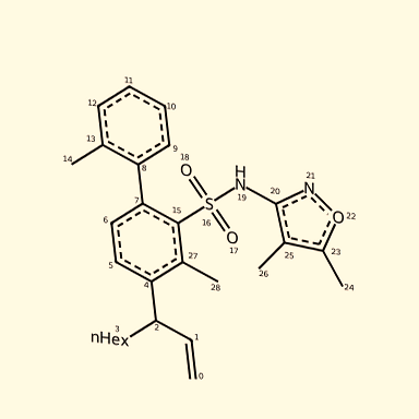 C=CC(CCCCCC)c1ccc(-c2ccccc2C)c(S(=O)(=O)Nc2noc(C)c2C)c1C